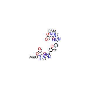 COC(=O)N[C@H](C(=O)N1CCC[C@H]1c1ncc(-c2ccc3c(c2)Oc2ccc(-c4cnc([C@@H]5CCCN5C(=O)[C@@H](NC(=O)OC)C5CCOCC5)[nH]4)cc2C32CC2)[nH]1)C1CCOCC1